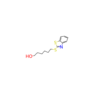 OCCCCCCSc1nc2ccccc2s1